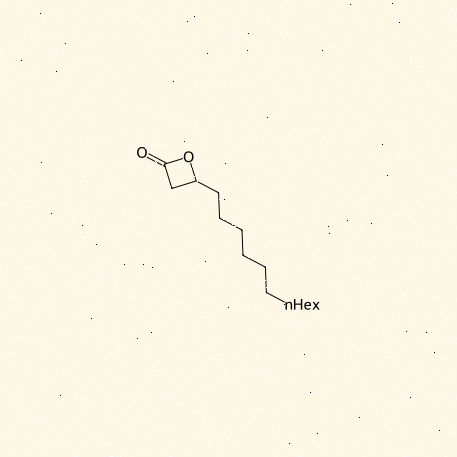 CCCCCCCCCCCCC1CC(=O)O1